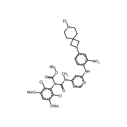 CCN1CCC2(CC1)CN(c1ccc(Nc3cc(N(C)C(=O)N(C(=O)OC(C)(C)C)c4c(Cl)c(OC)cc(OC)c4Cl)ncn3)c([N+](=O)[O-])c1)C2